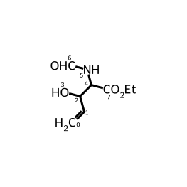 C=CC(O)C(NC=O)C(=O)OCC